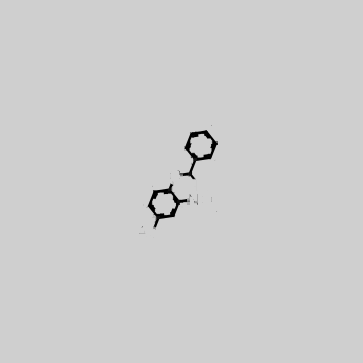 CCC(Oc1ccc(C(C)=O)cc1[N+](=O)[O-])c1ccccc1